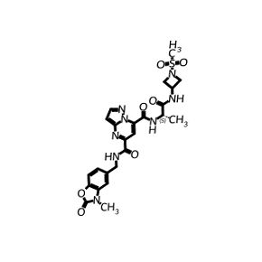 C[C@H](NC(=O)c1cc(C(=O)NCc2ccc3oc(=O)n(C)c3c2)nc2ccnn12)C(=O)NC1CN(S(C)(=O)=O)C1